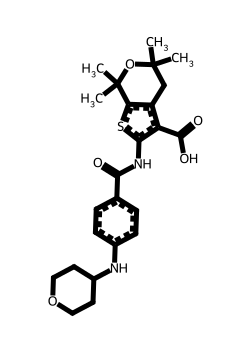 CC1(C)Cc2c(sc(NC(=O)c3ccc(NC4CCOCC4)cc3)c2C(=O)O)C(C)(C)O1